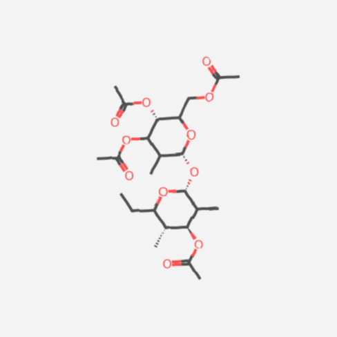 CCC1O[C@H](O[C@H]2OC(COC(C)=O)[C@@H](OC(C)=O)C(OC(C)=O)C2C)C(C)[C@@H](OC(C)=O)[C@@H]1C